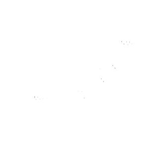 CNCC(CC(C)C)NC(=O)N1CCCC(C(O)(CCCCOC)c2cccc3ccoc23)C1